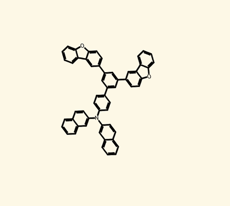 c1ccc2cc(N(c3ccc(-c4cc(-c5ccc6oc7ccccc7c6c5)cc(-c5ccc6oc7ccccc7c6c5)c4)cc3)c3ccc4ccccc4c3)ccc2c1